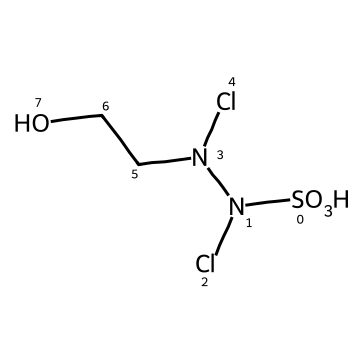 O=S(=O)(O)N(Cl)N(Cl)CCO